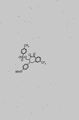 COc1ccc(C2Cc3cc(C(F)(F)F)ccc3NC(=O)C2COS(=O)(=O)c2ccc(C)cc2)cc1